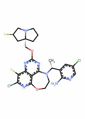 C[C@H](c1cc(Cl)cnc1N)N1CCOc2nc(Cl)c(F)c3nc(OC[C@@]45CCCN4C[C@H](F)C5)nc1c23